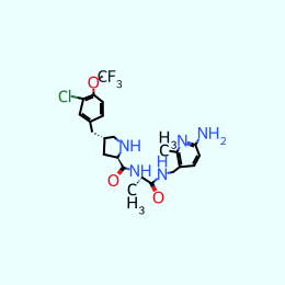 Cc1nc(N)ccc1CNC(=O)[C@H](C)NC(=O)[C@H]1C[C@H](Cc2ccc(OC(F)(F)F)c(Cl)c2)CN1